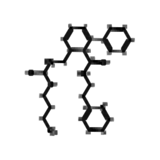 O=C(NCc1cccc(-c2ccccc2)c1C(=O)NCCc1ccccn1)OCCCC(F)(F)F